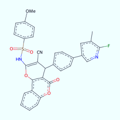 COc1ccc(S(=O)(=O)NC2=C(C#N)C(c3ccc(-c4cnc(F)c(C)c4)cc3)c3c(c4ccccc4oc3=O)O2)cc1